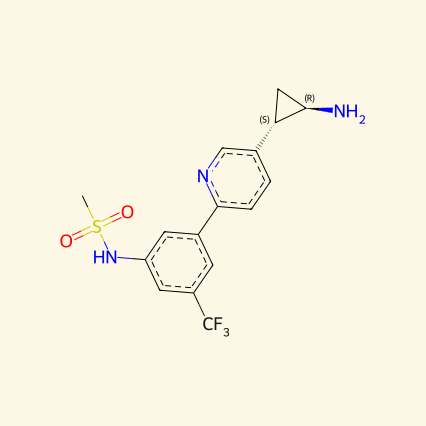 CS(=O)(=O)Nc1cc(-c2ccc([C@@H]3C[C@H]3N)cn2)cc(C(F)(F)F)c1